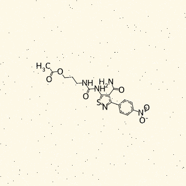 CC(=O)OCCCNC(=O)Nc1snc(-c2ccc([N+](=O)[O-])cc2)c1C(N)=O